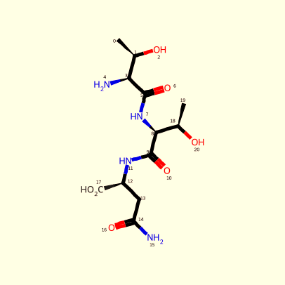 C[C@@H](O)[C@H](N)C(=O)N[C@H](C(=O)N[C@@H](CC(N)=O)C(=O)O)[C@@H](C)O